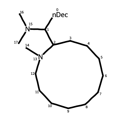 CCCCCCCCCCC(C1CCCCCCCCCCN1C)N(C)C